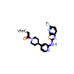 CCc1ccc2nc(Nc3cc(C4CCN(C(=O)COC)CC4)ccn3)sc2n1